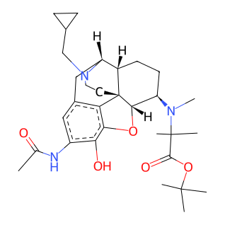 CC(=O)Nc1cc2c3c(c1O)O[C@H]1[C@H](N(C)C(C)(C)C(=O)OC(C)(C)C)CC[C@H]4[C@@H](C2)N(CC2CC2)CC[C@@]341